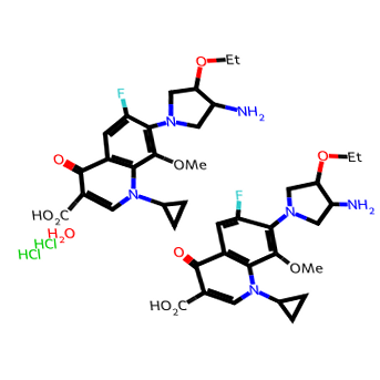 CCOC1CN(c2c(F)cc3c(=O)c(C(=O)O)cn(C4CC4)c3c2OC)CC1N.CCOC1CN(c2c(F)cc3c(=O)c(C(=O)O)cn(C4CC4)c3c2OC)CC1N.Cl.Cl.O